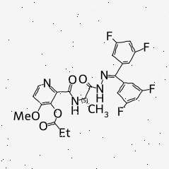 CCC(=O)Oc1c(OC)ccnc1C(=O)N[C@@H](C)C(=O)NN=C(c1cc(F)cc(F)c1)c1cc(F)cc(F)c1